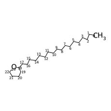 CCCCCCCCCCCCCCCCCCC1CCCCO1